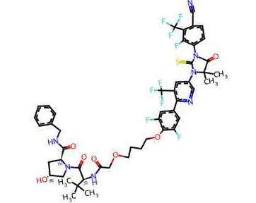 CC(C)(C)[C@H](NC(=O)COCCCCOc1c(F)cc(-c2ncc(N3C(=S)N(c4ccc(C#N)c(C(F)(F)F)c4F)C(=O)C3(C)C)cc2C(F)(F)F)cc1F)C(=O)N1C[C@H](O)C[C@H]1C(=O)NCc1ccccc1